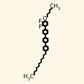 CCCCCCCCCCCCc1ccc(-c2ccc(-c3ccc(-c4ccc(OCCCCCC)c(F)c4F)cc3)cc2)cc1